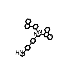 c1cc(-c2nc(-c3ccc(-c4ccc(-c5ccc[nH]5)cc4)cc3)cc(-c3cc4ccccc4c4ccccc34)n2)cc(-c2cccc3ccccc23)c1